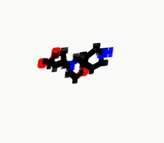 O=C1C=C(N2CCOC3(CCNCC3)C2)CO1